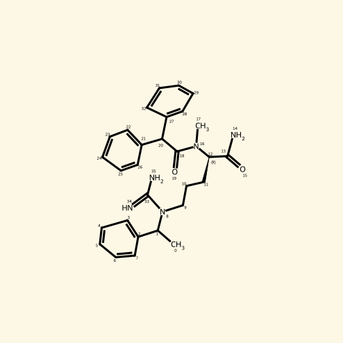 CC(c1ccccc1)N(CCC[C@H](C(N)=O)N(C)C(=O)C(c1ccccc1)c1ccccc1)C(=N)N